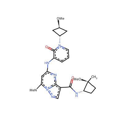 CNc1cc(Nc2cccn([C@H]3C[C@H](OC)C3)c2=O)nc2c(C(=O)N[C@H]3CC[C@]3(C)OC)cnn12